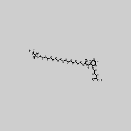 CCS(=O)(=O)CCCCCCCCCCCCCCCCCCCC(=O)Nc1ccccc1SCCCC(=O)O